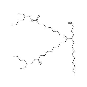 CCCCCCCCCN(CCCO)C(CCCCCCCCC(=O)OCC(CC)CCCC)CCCCCCCCC(=O)OCC(CC)CCCC